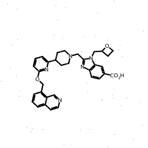 O=C(O)c1ccc2nc(CN3CCC(c4cccc(OCc5cccc6ccncc56)n4)CC3)n(CC3CCO3)c2c1